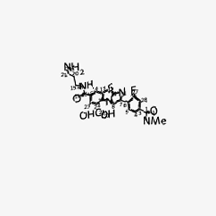 CNC(=O)c1ccc(-c2cn3c(n2)sc2cc(C(=O)NCCCN)ccc23)c(F)c1.O=CO